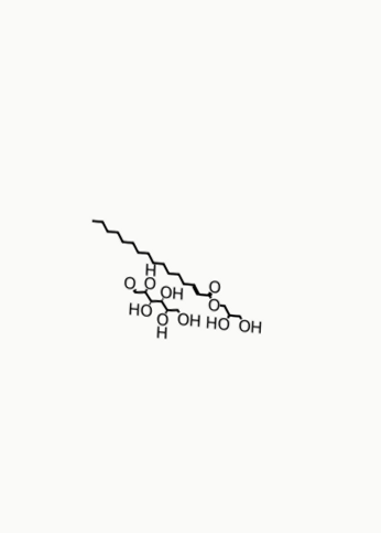 CCCCCCCCCCCCCC=CC(=O)OCC(O)CO.O=C[C@@H](O)[C@@H](O)[C@H](O)[C@H](O)CO